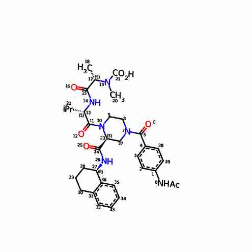 CC(=O)Nc1ccc(C(=O)N2CCN(C(=O)[C@@H](NC(=O)[C@H](C)N(C)C(=O)O)C(C)C)[C@H](C(=O)N[C@@H]3CCCc4ccccc43)C2)cc1